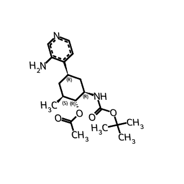 CC(=O)O[C@@H]1[C@@H](C)C[C@@H](c2ccncc2N)C[C@H]1NC(=O)OC(C)(C)C